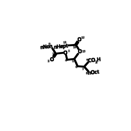 CCCCCCCCCC(=O)OCC(CC(CCCCCCCC)C(=O)O)OC(=O)CCCCCCC